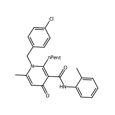 CCCCCc1c(C(=O)Nc2ccccc2C)c(=O)cc(C)n1Cc1ccc(Cl)cc1